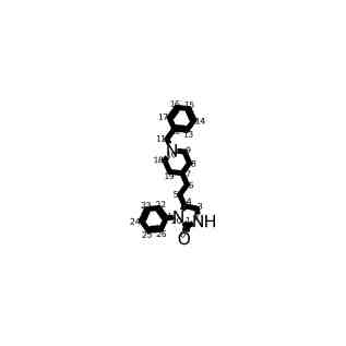 O=C1NCC(CCC2CCN(Cc3ccccc3)CC2)N1c1ccccc1